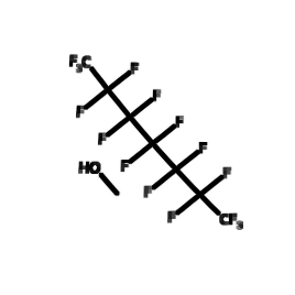 CO.FC(F)(F)C(F)(F)C(F)(F)C(F)(F)C(F)(F)C(F)(F)C(F)(F)F